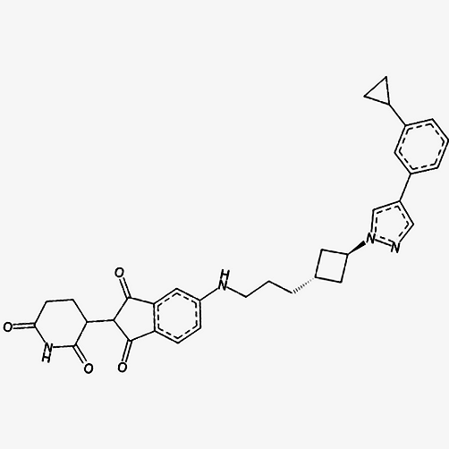 O=C1CCC(C2C(=O)c3ccc(NCCC[C@H]4C[C@H](n5cc(-c6cccc(C7CC7)c6)cn5)C4)cc3C2=O)C(=O)N1